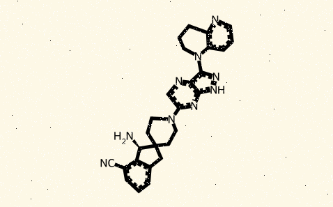 N#Cc1cccc2c1[C@@H](N)C1(CCN(c3cnc4c(N5CCCc6ncccc65)n[nH]c4n3)CC1)C2